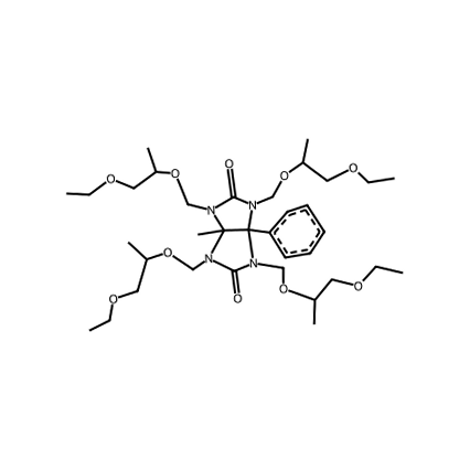 CCOCC(C)OCN1C(=O)N(COC(C)COCC)C2(c3ccccc3)N(COC(C)COCC)C(=O)N(COC(C)COCC)C12C